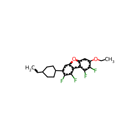 C=CC1CCC(c2cc3oc4cc(OCC)c(F)c(F)c4c3c(F)c2F)CC1